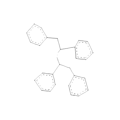 c1ccc(CC(OC(Cc2ccccc2)c2ccccc2)c2ccccc2)cc1